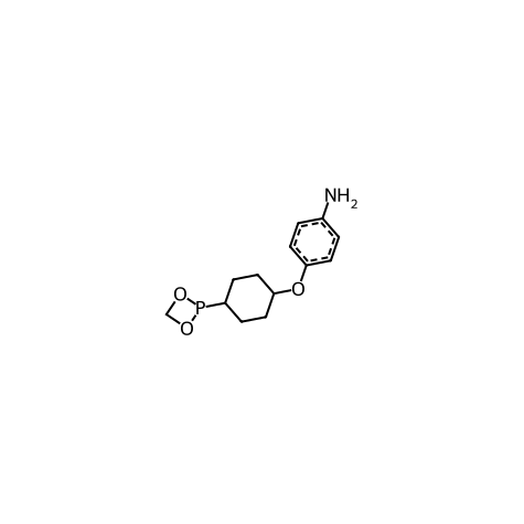 Nc1ccc(OC2CCC(P3OCO3)CC2)cc1